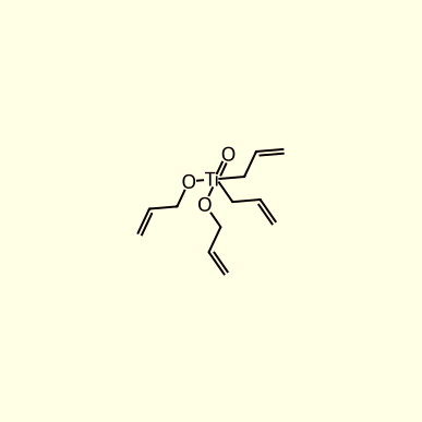 C=CC[O][Ti](=[O])([CH2]C=C)([CH2]C=C)[O]CC=C